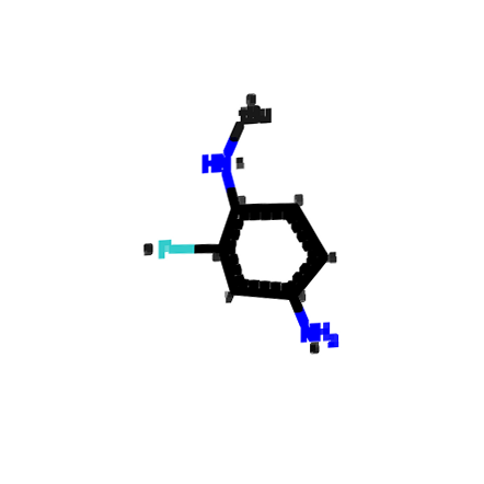 CC(C)(C)Nc1ccc(N)cc1F